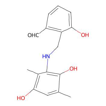 Cc1cc(O)c(C)c(NCc2c(O)cccc2C=O)c1O